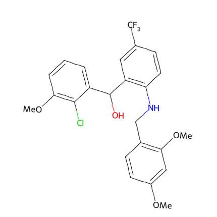 COc1ccc(CNc2ccc(C(F)(F)F)cc2C(O)c2cccc(OC)c2Cl)c(OC)c1